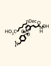 CCCCCCCCCCCCCCCC(=O)O.CN(C)Cc1ccc(S(=O)(=O)n2ccc(C=CC(=O)NO)c2)cc1